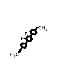 CC#Cc1ccc(-c2ccc(-c3ccc(CC)cc3)c(F)c2F)cc1